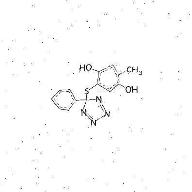 Cc1cc(O)c(SC2(c3ccccc3)N=NN=N2)cc1O